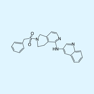 O=S(=O)(Cc1ccccc1)N1CCc2c(ccnc2Nc2cnc3ccccc3c2)C1